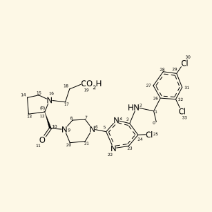 CC(Nc1nc(N2CCN(C(=O)[C@H]3CCCN3CCC(=O)O)CC2)ncc1Cl)c1ccc(Cl)cc1Cl